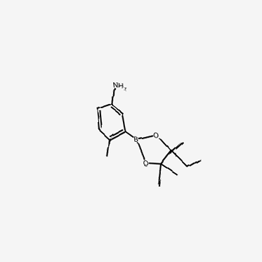 CCC1(C)OB(c2cc(N)ccc2C)OC1(C)C